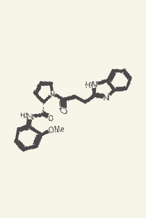 COc1ccccc1NC(=O)[C@@H]1CCCN1C(=O)CCc1nc2ccccc2[nH]1